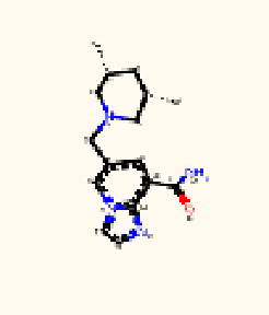 C[C@@H]1C[C@H](C)CN(Cc2cc(C(N)=O)c3nccn3c2)C1